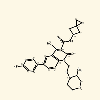 CC1COCCN1CCn1c(=O)c(C(=O)NC2CC3(CC3)C2)c(O)c2cc(-c3ccc(F)cc3)cnc21